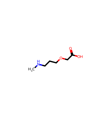 CNCCCOCC(=O)O